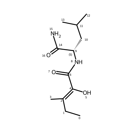 CCC(C)=C(O)C(=O)N[C@@H](CC(C)C)C(N)=O